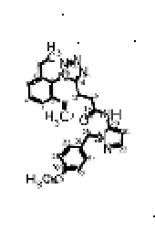 CCc1cccc(CC)c1-n1nnnc1CCC(=O)Nc1ccnn1Cc1ccc(OC)cc1